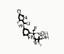 CC1(C)C(N)=N[C@](CF)(c2cc(NC(=O)c3ncc(Cl)cc3F)ccc2F)CS1(O)O